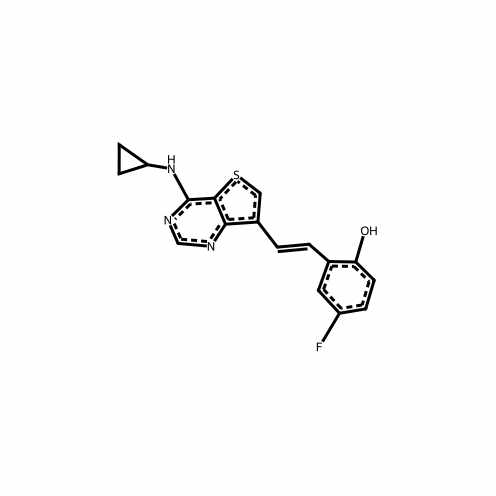 Oc1ccc(F)cc1C=Cc1csc2c(NC3CC3)ncnc12